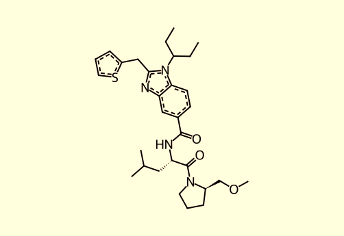 CCC(CC)n1c(Cc2cccs2)nc2cc(C(=O)N[C@@H](CC(C)C)C(=O)N3CCC[C@@H]3COC)ccc21